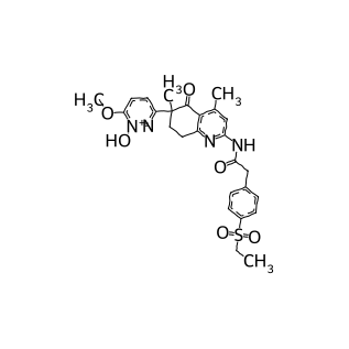 CCS(=O)(=O)c1ccc(CC(=O)Nc2cc(C)c3c(n2)CCC(C)(c2ccc(OC)[n+](O)n2)C3=O)cc1